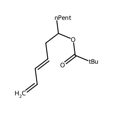 C=CC=CCC(CCCCC)OC(=O)C(C)(C)C